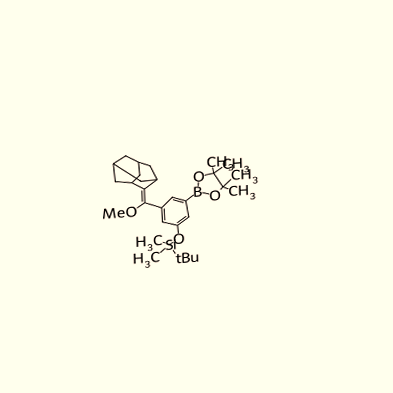 COC(=C1C2CC3CC(C2)CC1C3)c1cc(O[Si](C)(C)C(C)(C)C)cc(B2OC(C)(C)C(C)(C)O2)c1